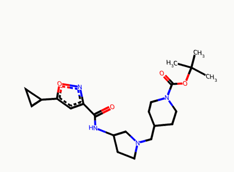 CC(C)(C)OC(=O)N1CCC(CN2CCC(NC(=O)c3cc(C4CC4)on3)C2)CC1